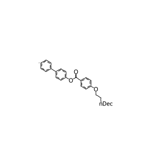 CCCCCCCCCCCCOc1ccc(C(=O)Oc2ccc(-c3cc[c]cc3)cc2)cc1